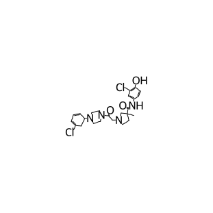 CC1(C(=O)Nc2ccc(O)c(Cl)c2)CCN(CC(=O)N2CCN(C3C=CC=C(Cl)C3)CC2)C1